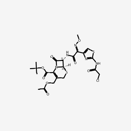 CON=C(C(=O)N[C@H]1C(=O)N2C(C(=O)OC(C)(C)C)=C(COC(C)=O)CS[C@H]12)c1csc(NC(=O)CCl)n1